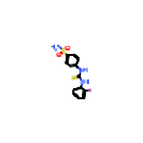 NS(=O)(=O)c1ccc(NC(=S)Nc2ccccc2I)cc1